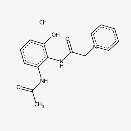 CC(=O)Nc1cccc(O)c1NC(=O)C[n+]1ccccc1.[Cl-]